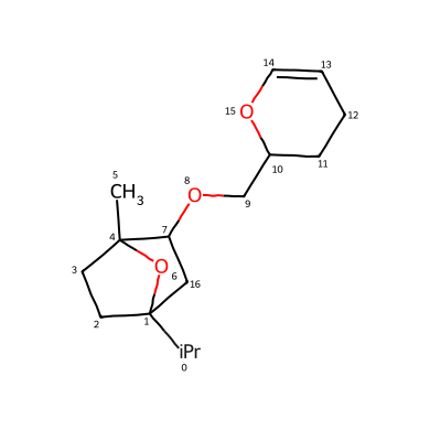 CC(C)C12CCC(C)(O1)C(OCC1CCC=CO1)C2